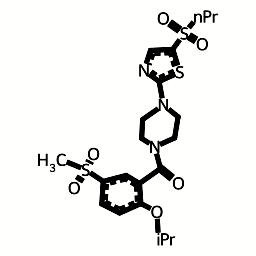 CCCS(=O)(=O)c1cnc(N2CCN(C(=O)c3cc(S(C)(=O)=O)ccc3OC(C)C)CC2)s1